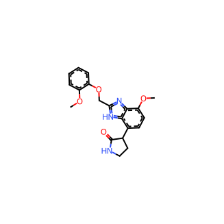 COc1ccccc1OCc1nc2c(OC)ccc(C3CCNC3=O)c2[nH]1